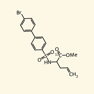 C=CCC(NS(=O)(=O)c1ccc(-c2ccc(Br)cc2)cc1)[13C](=O)OC